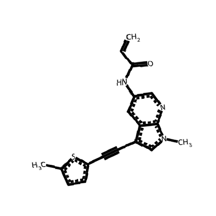 C=CC(=O)Nc1cnc2c(c1)c(C#Cc1ccc(C)s1)cn2C